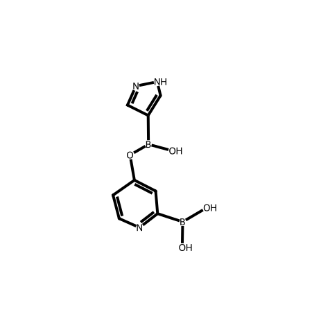 OB(Oc1ccnc(B(O)O)c1)c1cn[nH]c1